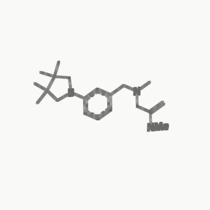 C=C(CN(C)Cc1cccc(B2CC(C)(C)C(C)(C)C2)c1)NC